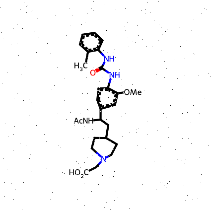 COc1cc(C(CC2CCN(CC(=O)O)CC2)NC(C)=O)ccc1NC(=O)Nc1ccccc1C